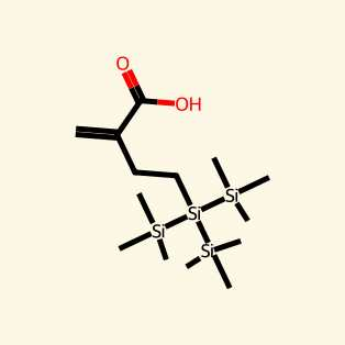 C=C(CC[Si]([Si](C)(C)C)([Si](C)(C)C)[Si](C)(C)C)C(=O)O